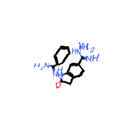 N=C(N)c1ccccc1.N=C(NN)c1ccc2c(c1)NC(=O)C2